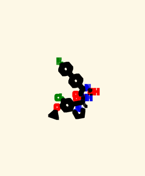 C[C@@H](NC(=O)C(=NO)c1ccc(-c2ccc(F)cc2)cc1)[C@](O)(c1ccc(OC2CC2)c(Cl)c1)N1CCCC1